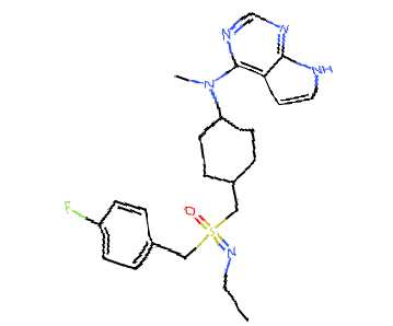 CCN=S(=O)(Cc1ccc(F)cc1)CC1CCC(N(C)c2ncnc3[nH]ccc23)CC1